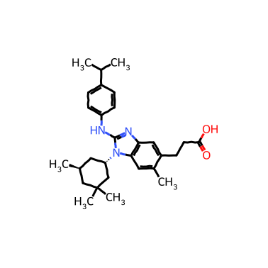 Cc1cc2c(cc1CCC(=O)O)nc(Nc1ccc(C(C)C)cc1)n2[C@H]1C[C@H](C)CC(C)(C)C1